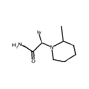 CC1CCCCN1C(Br)C(N)=O